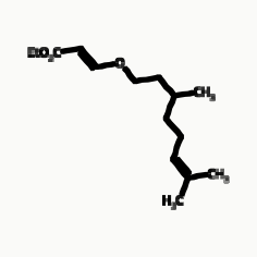 CCOC(=O)/C=C/OCCC(C)CCC=C(C)C